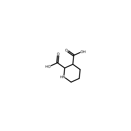 O=C(O)C1CCCNC1C(=O)O